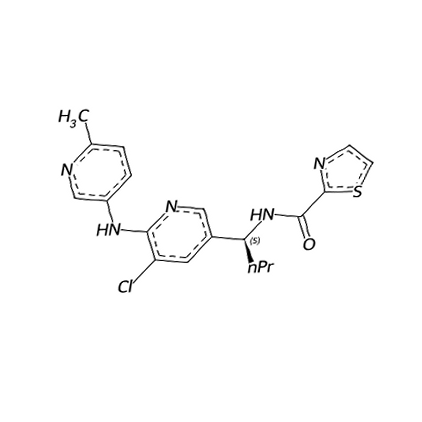 CCC[C@H](NC(=O)c1nccs1)c1cnc(Nc2ccc(C)nc2)c(Cl)c1